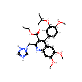 CCOC(=O)c1c(Cn2cncn2)nc2cc(OC)c(OC)cc2c1-c1ccc(OC)c(OC(C)C)c1